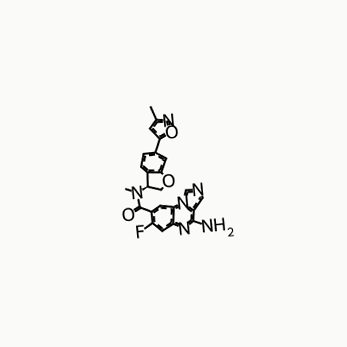 Cc1cc(-c2ccc3c(c2)OC[C@H]3N(C)C(=O)c2cc3c(cc2F)nc(N)c2cncn23)on1